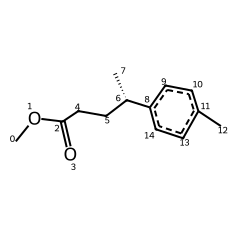 COC(=O)CC[C@H](C)c1ccc(C)cc1